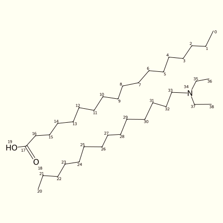 CCCCCCCCCCCCCCCCCC(=O)O.CCCCCCCCCCCCCCN(CC)CC